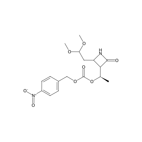 COC(CC1NC(=O)C1[C@@H](C)OC(=O)OCc1ccc([N+](=O)[O-])cc1)OC